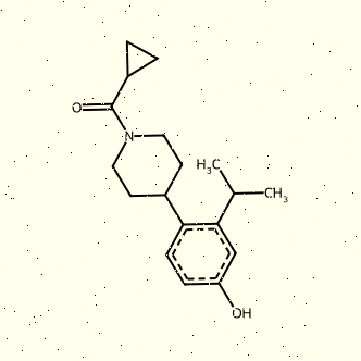 CC(C)c1cc(O)ccc1C1CCN(C(=O)C2CC2)CC1